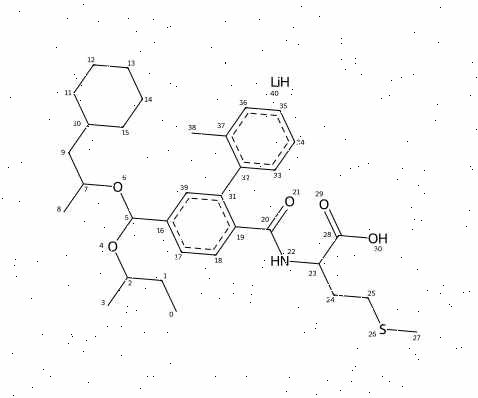 CCC(C)OC(OC(C)CC1CCCCC1)c1ccc(C(=O)NC(CCSC)C(=O)O)c(-c2ccccc2C)c1.[LiH]